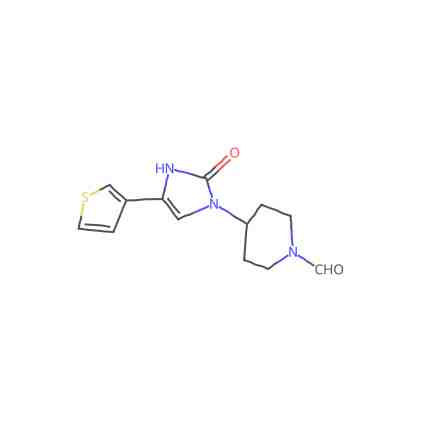 O=CN1CCC(n2cc(-c3ccsc3)[nH]c2=O)CC1